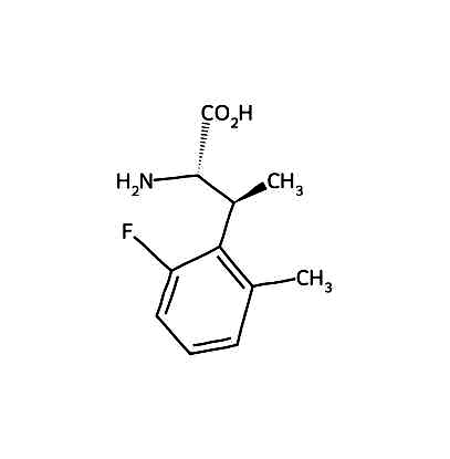 Cc1cccc(F)c1[C@H](C)[C@H](N)C(=O)O